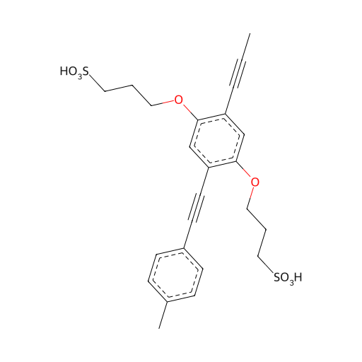 CC#Cc1cc(OCCCS(=O)(=O)O)c(C#Cc2ccc(C)cc2)cc1OCCCS(=O)(=O)O